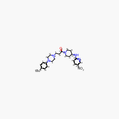 CC(C)(C)c1ccc(N2CCN(CCC(=O)N3CCC(Nc4ccc([N+](=O)[O-])cn4)CC3)CC2)cc1